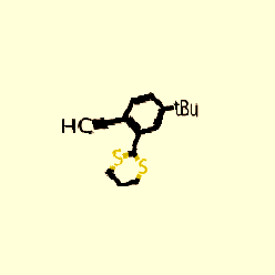 C#Cc1ccc(C(C)(C)C)cc1C1SCCCS1